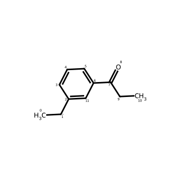 C[CH]c1cccc(C(=O)CC)c1